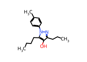 CCCCc1c(O)c(CCC)nn1-c1ccc(C)cc1